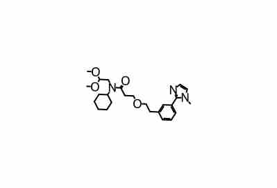 COC(CN(C(=O)CCOCCc1cccc(-c2nccn2C)c1)C1CCCCC1)OC